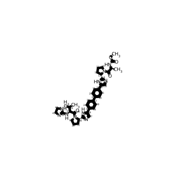 COC(=O)N[C@@H](C)C(=O)N1CCC[C@H]1c1ncc(-c2ccc(-c3ccc(-c4cnc([C@@H]5CCCN5C(=O)[C@@H](NC5=NCCN5)C(C)C)[nH]4)cc3)cc2)[nH]1